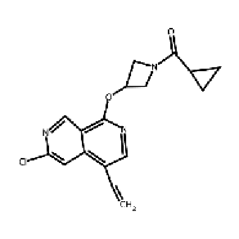 C=Cc1cnc(OC2CN(C(=O)C3CC3)C2)c2cnc(Cl)cc12